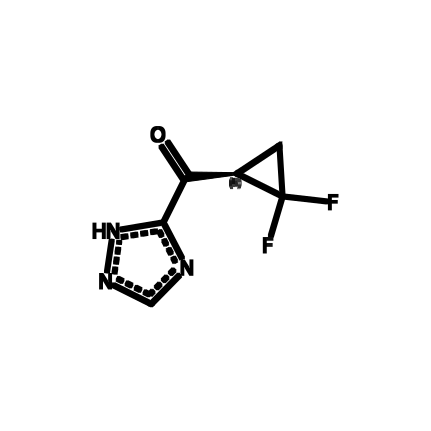 O=C(c1ncn[nH]1)[C@H]1CC1(F)F